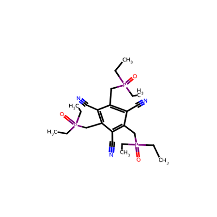 CCP(=O)(CC)Cc1c(C#N)c(CP(=O)(CC)CC)c(C#N)c(CP(=O)(CC)CC)c1C#N